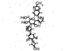 Cc1nc2ccc(-n3ncnc3[C@@H]3O[C@H](CO)[C@H](O)[C@H](n4cc(-c5cc(F)c(N6CC(O)C6)c(F)c5)nn4)[C@H]3O)cc2s1